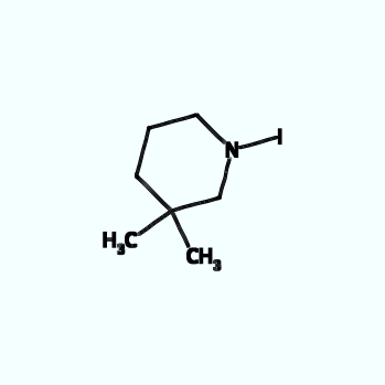 CC1(C)CCCN(I)C1